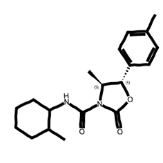 Cc1ccc([C@@H]2OC(=O)N(C(=O)NC3CCCCC3C)[C@H]2C)cc1